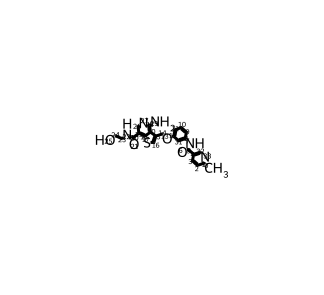 Cc1ccc(C(=O)Nc2cccc(OCc3csc4c(C(=O)NCCO)cnc(N)c34)c2)cn1